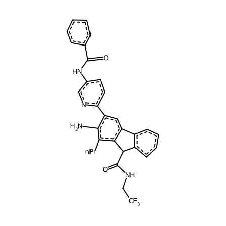 CCCc1c(N)c(-c2ccc(NC(=O)c3ccccc3)cn2)cc2c1C(C(=O)NCC(F)(F)F)c1ccccc1-2